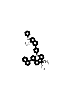 Cc1c(Oc2ccccc2)ccc2ccc(-c3ccc(N(c4ccc(-c5cccc6ccccc56)cc4)c4cccc5c4-c4ccccc4C5(C)C)cc3)cc12